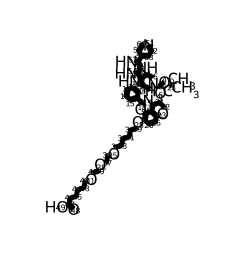 CC(C)(C)OC(=O)N1CCC(Nc2cccc(C(=O)N[C@H]3CCOc4ccc(OCCCCCCOCCOCCOCCCCCC(=O)O)cc43)c2)(C(=N)NC(=N)c2ccncc2)CC1